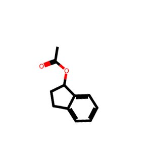 CC(=O)OC1CCc2ccccc21